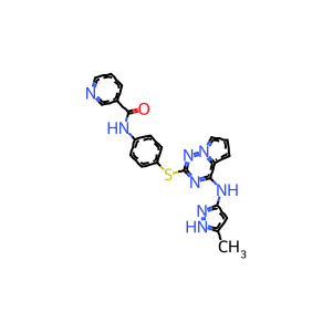 Cc1cc(Nc2nc(Sc3ccc(NC(=O)c4cccnc4)cc3)nn3cccc23)n[nH]1